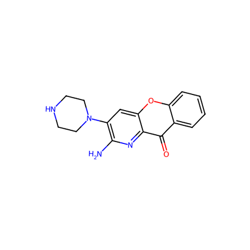 Nc1nc2c(=O)c3ccccc3oc2cc1N1CCNCC1